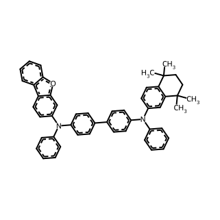 CC1(C)CCC(C)(C)c2cc(N(c3ccccc3)c3ccc(-c4ccc(N(c5ccccc5)c5ccc6c(c5)oc5ccccc56)cc4)cc3)ccc21